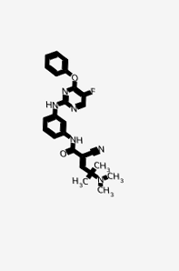 CN(C)C(C)(C)/C=C(\C#N)C(=O)Nc1cccc(Nc2ncc(F)c(Oc3ccccc3)n2)c1